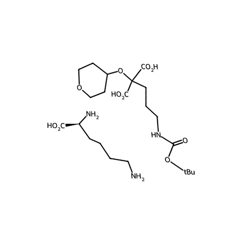 CC(C)(C)OC(=O)NCCCC(OC1CCOCC1)(C(=O)O)C(=O)O.NCCCC[C@H](N)C(=O)O